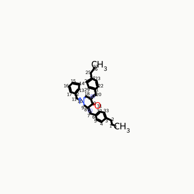 CCCc1ccc(/C=C2/CN(Cc3ccccc3)C/C(=C\c3ccc(CCC)cc3)C2=O)cc1